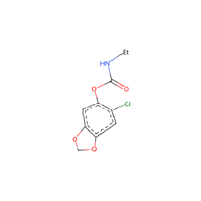 CCNC(=O)Oc1cc2c(cc1Cl)OCO2